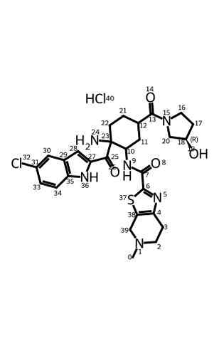 CN1CCc2nc(C(=O)NC3CC(C(=O)N4CC[C@@H](O)C4)CCC3(N)C(=O)c3cc4cc(Cl)ccc4[nH]3)sc2C1.Cl